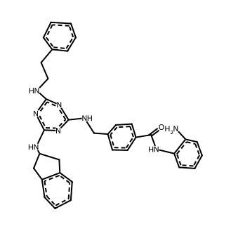 Nc1ccccc1NC(=O)c1ccc(CNc2nc(NCCc3ccccc3)nc(NC3Cc4ccccc4C3)n2)cc1